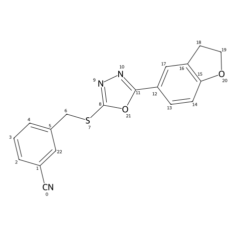 N#Cc1cccc(CSc2nnc(-c3ccc4c(c3)CCO4)o2)c1